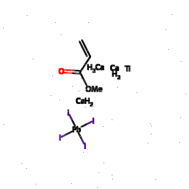 C=CC(=O)OC.[CaH2].[CaH2].[CaH2].[I][Pb]([I])([I])[I].[Ti]